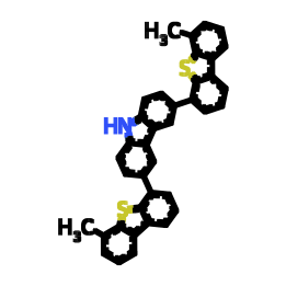 Cc1cccc2c1sc1c(-c3ccc4[nH]c5ccc(-c6cccc7c6sc6c(C)cccc67)cc5c4c3)cccc12